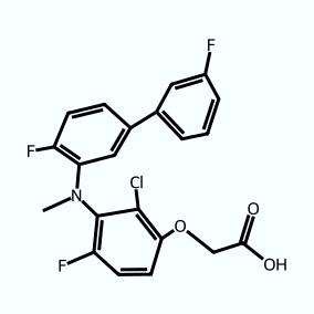 CN(c1cc(-c2cccc(F)c2)ccc1F)c1c(F)ccc(OCC(=O)O)c1Cl